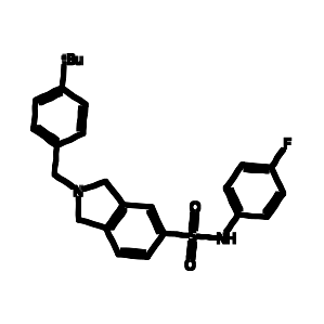 CC(C)(C)c1ccc(CN2Cc3ccc(S(=O)(=O)Nc4ccc(F)cc4)cc3C2)cc1